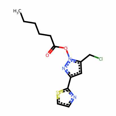 CCCCCC(=O)On1nc(-c2nccs2)cc1CCl